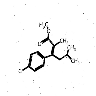 COC(=O)C(C)=C(CC(C)C)c1ccc(Cl)cc1